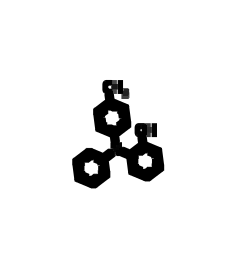 Cc1ccc(N(c2ccccc2)c2ccccc2O)cc1